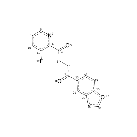 O=C(CCC(=O)c1ncccc1F)c1ccc2occc2c1